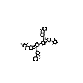 Cc1cc(C)c(-c2ccc3c(c2)c2ccc(-c4ccc5c6cc(-c7c(C)cc(C)cc7C)ccc6n(-c6ccc7sc8ccccc8c7c6)c5c4)cc2n3-c2ccc3oc4ccccc4c3c2)c(C)c1